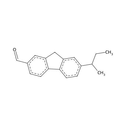 CCC(C)c1ccc2c(c1)Cc1cc(C=O)ccc1-2